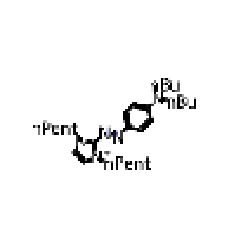 CCCCCn1cc[n+](CCCCC)c1/N=N/c1ccc(N(CCCC)CCCC)cc1